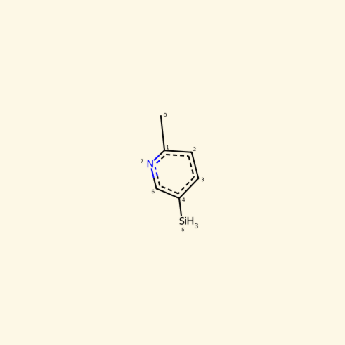 Cc1ccc([SiH3])cn1